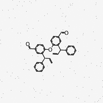 C=CC(c1ccccc1)c1cc(C=O)ccc1Oc1ccc(C=O)cc1C(C=C)c1ccccc1